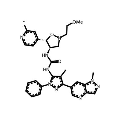 COCCN1C[C@@H](NC(=O)Nc2c(C)c(-c3cnc4cnn(C)c4c3)nn2-c2ccccc2)[C@H](c2ccnc(F)c2)O1